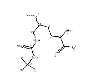 CSC(CCC(N)C(=O)O)CNC(=O)OC(C)(C)C